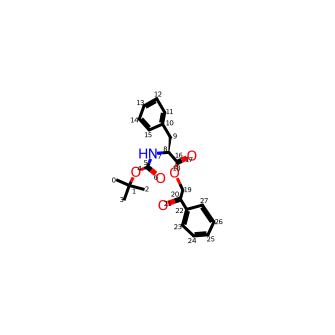 CC(C)(C)OC(=O)N[C@@H](Cc1ccccc1)C(=O)OCC(=O)c1ccccc1